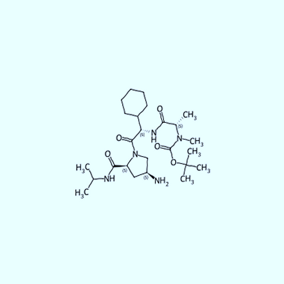 CC(C)NC(=O)[C@@H]1C[C@H](N)CN1C(=O)[C@@H](NC(=O)[C@H](C)N(C)C(=O)OC(C)(C)C)C1CCCCC1